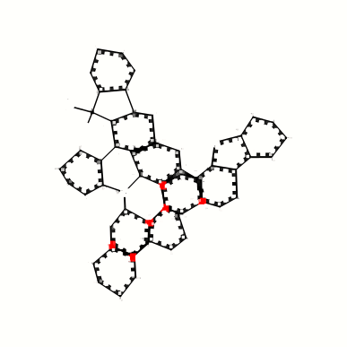 CC1(C)c2ccccc2-c2cccc(-c3ccccc3N(c3ccccc3-c3ccccc3)c3cccc(-c4cccc5c4oc4ccccc45)c3-c3cccc(-c4ccccc4)c3)c21